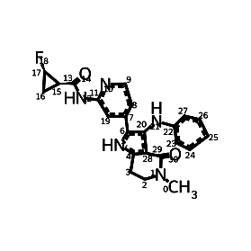 CN1CCc2[nH]c(-c3ccnc(NC(=O)[C@H]4C[C@H]4F)c3)c(Nc3ccccc3)c2C1=O